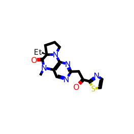 CC[C@@]12CCCN1c1nc(CC(=O)c3nccs3)ncc1N(C)C2=O